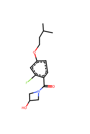 CC(C)CCOc1ccc(C(=O)N2CC(O)C2)c(F)c1